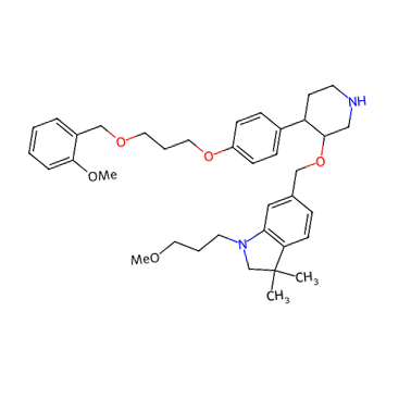 COCCCN1CC(C)(C)c2ccc(COC3CNCCC3c3ccc(OCCCOCc4ccccc4OC)cc3)cc21